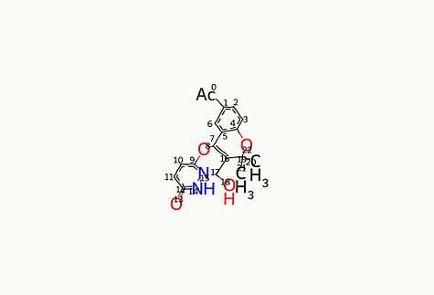 CC(=O)c1ccc2c(c1)C(Oc1ccc(=O)[nH]n1)=C(CO)C(C)(C)O2